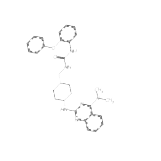 CN(C)c1nc(N[C@H]2CC[C@@H](CNC(=O)Nc3ccccc3Oc3ccccc3)CC2)nc2ccccc12